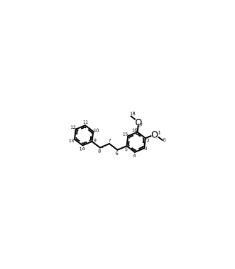 COc1ccc(CC[CH]c2ccccc2)cc1OC